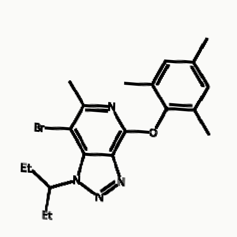 CCC(CC)n1nnc2c(Oc3c(C)cc(C)cc3C)nc(C)c(Br)c21